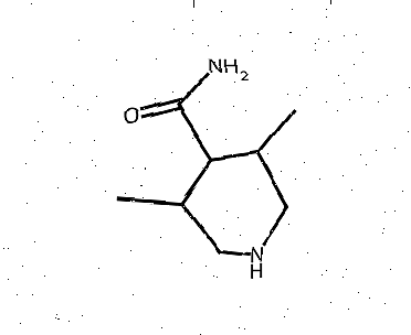 CC1CNCC(C)C1C(N)=O